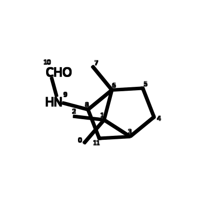 CC1(C)C2CCC1(C)C(NC=O)C2